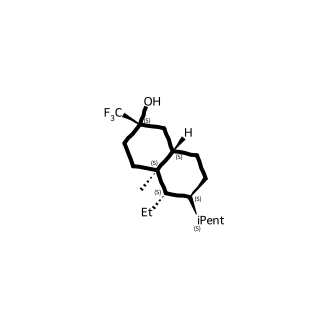 CCC[C@H](C)[C@@H]1CC[C@H]2C[C@](O)(C(F)(F)F)CC[C@]2(C)[C@H]1CC